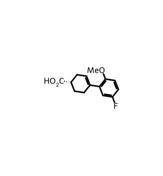 COc1ccc(F)cc1C1=CC[C@@H](C(=O)O)CC1